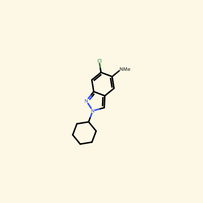 CNc1cc2cn(C3CCCCC3)nc2cc1Cl